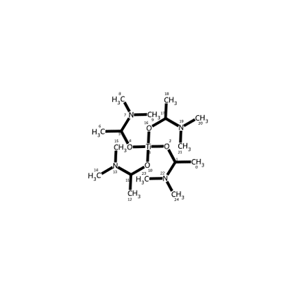 CC([O][Ti]([O]C(C)N(C)C)([O]C(C)N(C)C)[O]C(C)N(C)C)N(C)C